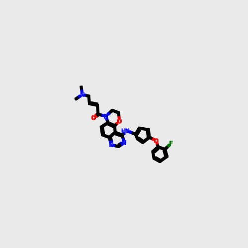 CN(C)C/C=C/C(=O)N1CCOc2c1ccc1ncnc(Nc3ccc(Oc4ccccc4F)cc3)c21